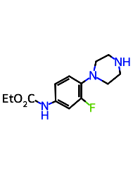 CCOC(=O)Nc1ccc(N2CCNCC2)c(F)c1